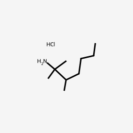 CCCCC(C)C(C)(C)N.Cl